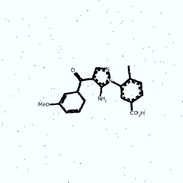 COC1=CC(C(=O)c2cnn(-c3cc(C(=O)O)ccc3C)c2N)CC=C1